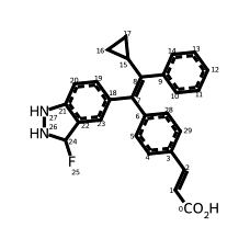 O=C(O)/C=C/c1ccc(/C(=C(\c2ccccc2)C2CC2)c2ccc3c(c2)C(F)NN3)cc1